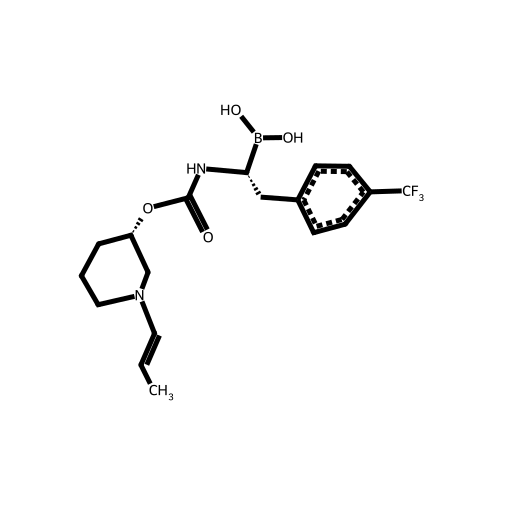 CC=CN1CCC[C@H](OC(=O)N[C@@H](Cc2ccc(C(F)(F)F)cc2)B(O)O)C1